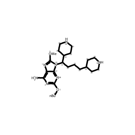 CCCCOc1nc(N)c2nc(OC)n(C(CCCC3CCNCC3)C3CCNCC3)c2n1